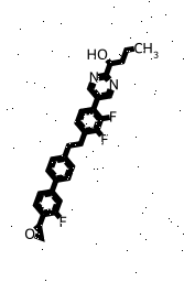 CCCC(O)c1ncc(-c2ccc(CCc3ccc(-c4ccc(C5CO5)c(F)c4)cc3)c(F)c2F)cn1